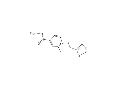 COC(=O)c1ccc(SCc2cnco2)c(I)c1